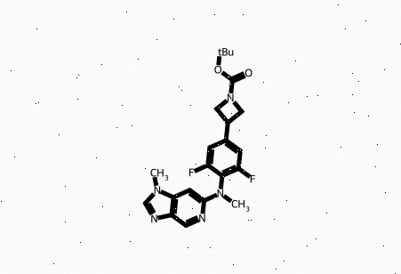 CN(c1cc2c(cn1)ncn2C)c1c(F)cc(C2CN(C(=O)OC(C)(C)C)C2)cc1F